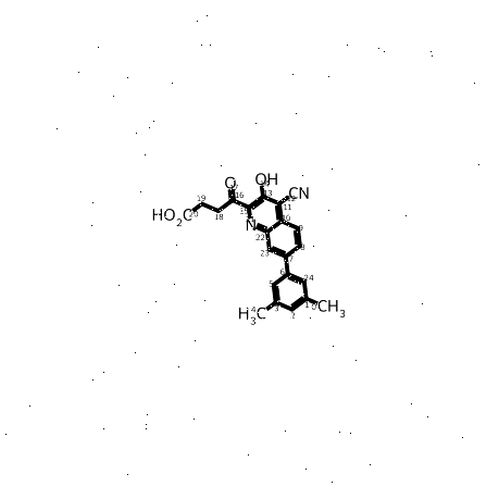 Cc1cc(C)cc(-c2ccc3c(C#N)c(O)c(C(=O)CCC(=O)O)nc3c2)c1